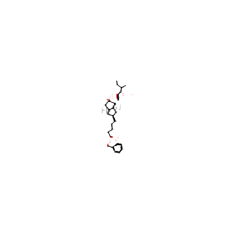 CCC(C)[C@H](O)/C=C/[C@@H]1[C@H]2C/C(=C/CCCC(=O)O[C@@H](C)c3ccccc3)C[C@H]2C[C@H]1O